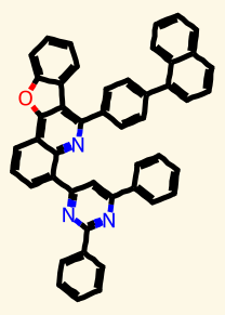 c1ccc(-c2cc(-c3cccc4c3nc(-c3ccc(-c5cccc6ccccc56)cc3)c3c5ccccc5oc43)nc(-c3ccccc3)n2)cc1